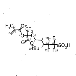 C=C(C(=O)OC(OCCCC(F)(F)C(F)(F)S(=O)(=O)O)(C(=O)OC(C)(C)C)C(F)(F)F)C(F)(F)F